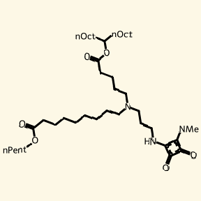 CCCCCCCCC(CCCCCCCC)OC(=O)CCCCN(CCCCCCCCC(=O)OCCCCC)CCCNc1c(NC)c(=O)c1=O